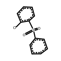 O=S(=O)(c1[c]cccc1)c1ccccc1Cl